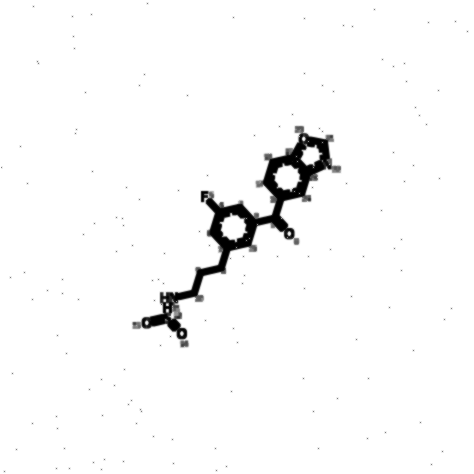 O=C(c1cc(F)cc(CCCN[SH](=O)=O)c1)c1ccc2ocnc2c1